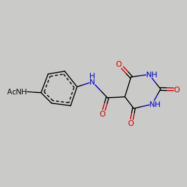 CC(=O)Nc1ccc(NC(=O)C2C(=O)NC(=O)NC2=O)cc1